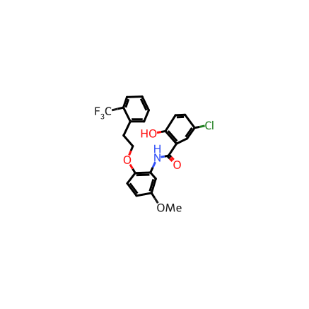 COc1ccc(OCCc2ccccc2C(F)(F)F)c(NC(=O)c2cc(Cl)ccc2O)c1